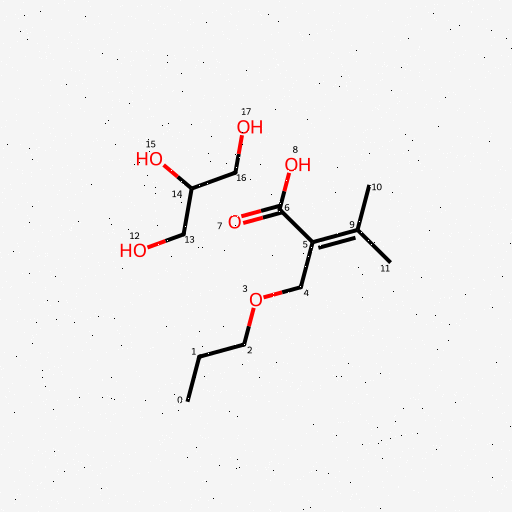 CCCOCC(C(=O)O)=C(C)C.OCC(O)CO